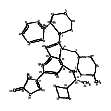 CC1CCC(Cn2c(N3CCOC[C@H]3c3ccccc3)nc3nc(-c4noc(=O)[nH]4)nc(N[C@H](C)C4CCC4)c32)CC1